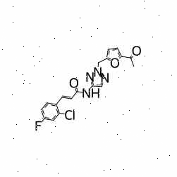 CC(=O)c1ccc(Cn2ncc(NC(=O)C=Cc3ccc(F)cc3Cl)n2)o1